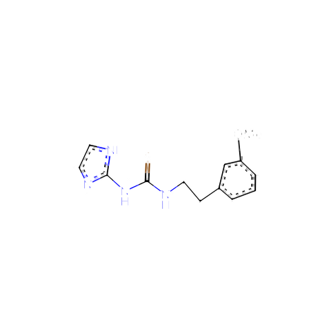 COc1cccc(CCNC(=S)Nc2ncc[nH]2)c1